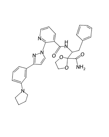 NC(=O)C1(C(Cc2ccccc2)NC(=O)c2cccnc2-n2ccc(-c3cccc(N4CCCC4)c3)n2)OCCO1